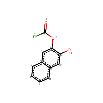 O=C(Cl)Oc1cc2ccccc2cc1O